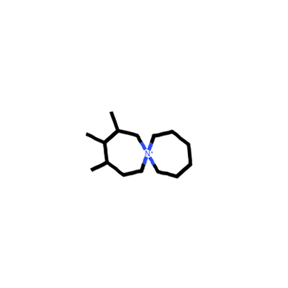 CC1CC[N+]2(CCCCCC2)CC(C)C1C